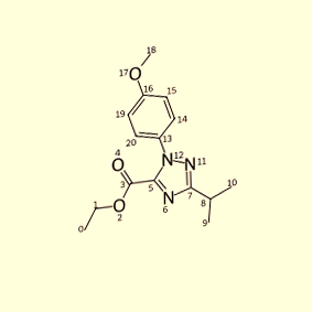 CCOC(=O)c1nc(C(C)C)nn1-c1ccc(OC)cc1